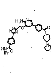 CC(C)NC(=O)c1ccc(-c2noc(COc3cc(-c4ccc(C(=O)N5CCC(N6CCCC6)CC5)cc4)cnc3N)n2)cc1